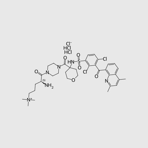 Cc1cc(C)c2cccc(C(=O)c3c(Cl)ccc(S(=O)(=O)NC4(C(=O)N5CCN(C(=O)[C@@H](N)CCC[N+](C)(C)C)CC5)CCOCC4)c3Cl)c2n1.Cl.Cl.[Cl-]